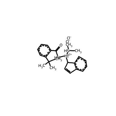 C[SiH](C)[Hf+2]([NH]C(=O)c1ccccc1C(C)(C)C)[CH]1C=Cc2ccccc21.[Cl-].[Cl-]